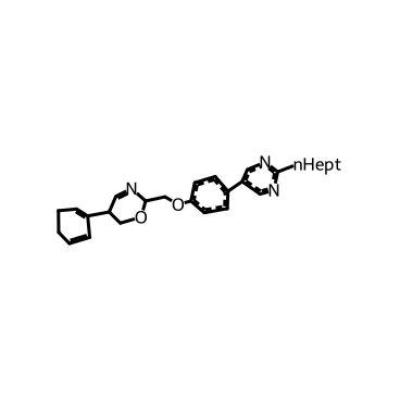 CCCCCCCc1ncc(-c2ccc(OCC3N=CC(C4=CCCC=C4)CO3)cc2)cn1